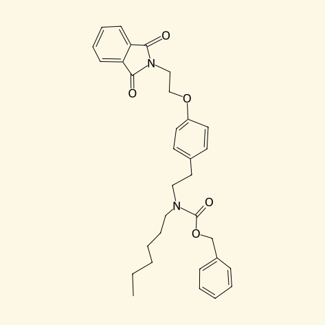 CCCCCCN(CCc1ccc(OCCN2C(=O)c3ccccc3C2=O)cc1)C(=O)OCc1ccccc1